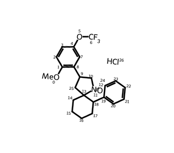 COc1ccc(OC(F)(F)F)cc1C1C[N+](=O)C2(CCCCC2c2ccccc2)C1.Cl